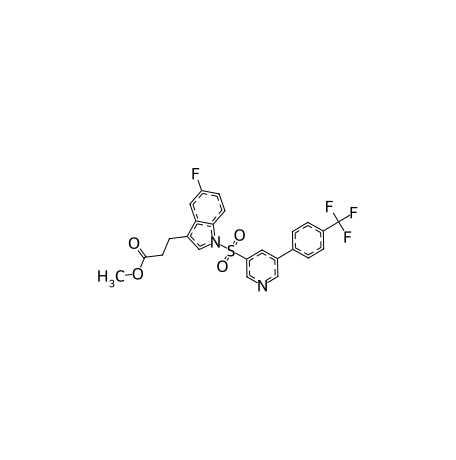 COC(=O)CCc1cn(S(=O)(=O)c2cncc(-c3ccc(C(F)(F)F)cc3)c2)c2ccc(F)cc12